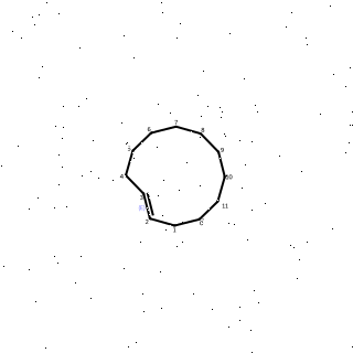 [CH]1C/C=C/CCCCCCCC1